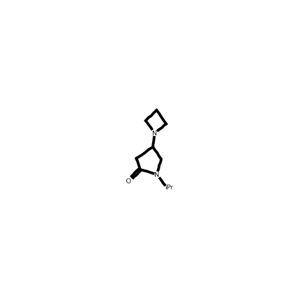 CC(C)N1CC(N2CCC2)CC1=O